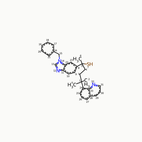 CC(C)(CCC(C)(S)c1ccc2ncn(Cc3ccccc3)c2c1)c1cccc2cccnc12